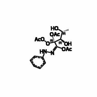 CC(=O)OO[C@](OC(C)=O)(C(=NNc1ccccc1)OC(C)=O)[C@H](O)[C@@H](C)O